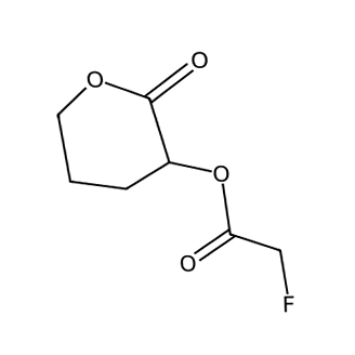 O=C(CF)OC1CCCOC1=O